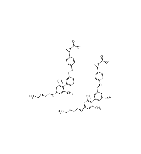 CCOCCOc1cc(C)c(-c2cccc(COc3ccc(C4CC4C(=O)[O-])cc3)c2)c(C)c1.CCOCCOc1cc(C)c(-c2cccc(COc3ccc(C4CC4C(=O)[O-])cc3)c2)c(C)c1.[Ca+2]